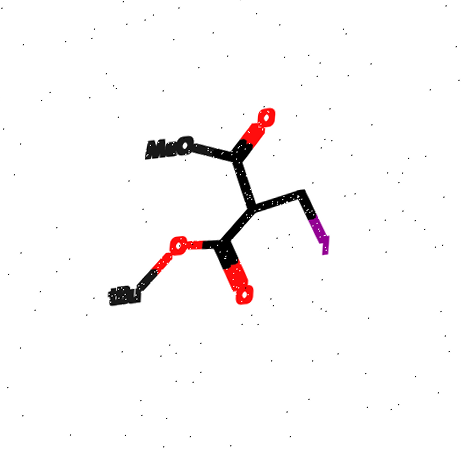 COC(=O)C(CI)C(=O)OC(C)(C)C